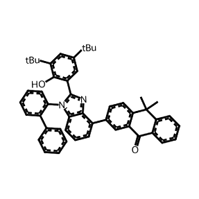 CC(C)(C)c1cc(-c2nc3c(-c4ccc5c(c4)C(=O)c4ccccc4C5(C)C)cccc3n2-c2ccccc2-c2ccccc2)c(O)c(C(C)(C)C)c1